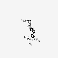 CC(C)=Nc1ccc(-c2ccn3nc(NCC4CCCN(C)C4)ncc23)nc1C